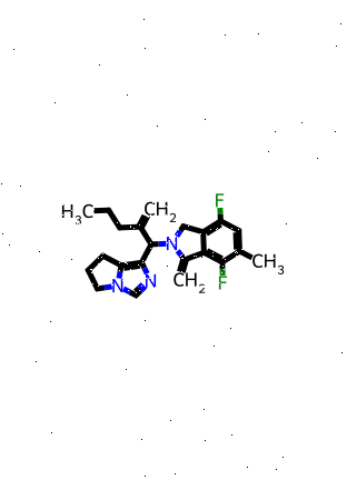 C=C(CCC)C(c1ncn2c1CCC2)N1Cc2c(F)cc(C)c(F)c2C1=C